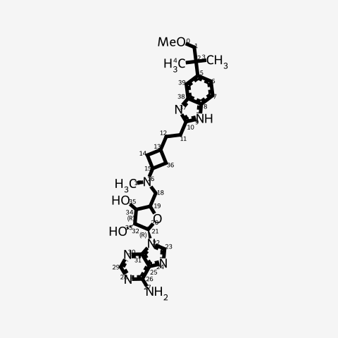 COCC(C)(C)c1ccc2[nH]c(CCC3CC(N(C)CC4O[C@@H](n5cnc6c(N)ncnc65)[C@H](O)C4O)C3)nc2c1